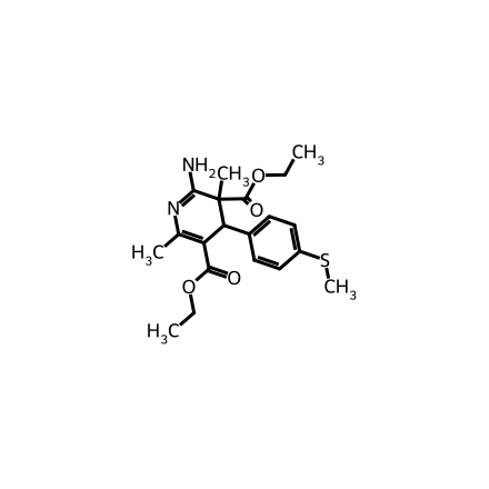 CCOC(=O)C1=C(C)N=C(N)C(C)(C(=O)OCC)C1c1ccc(SC)cc1